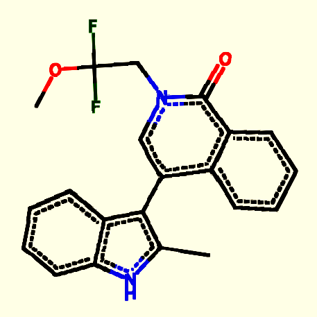 COC(F)(F)Cn1cc(-c2c(C)[nH]c3ccccc23)c2ccccc2c1=O